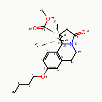 CCCCOc1ccc2c(c1)CCN1C(=O)C[C@H]3[C@H](C(=O)OC)[C@@H](C)C[C@]231